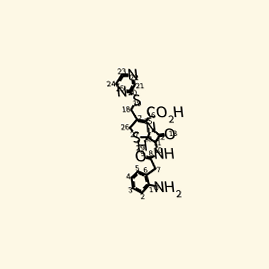 Nc1ccccc1CC(=O)NC1C(=O)N2C(C(=O)O)=C(CSc3cnccn3)CS[C@@H]12